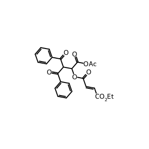 CCOC(=O)C=CC(=O)OC(C(=O)OC(C)=O)C(C(=O)c1ccccc1)C(=O)c1ccccc1